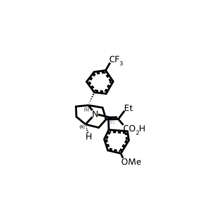 CC/C(C(=O)O)=C1/C[C@H]2CC[C@@](c3ccc(C(F)(F)F)cc3)(C1)N2Cc1ccc(OC)cc1